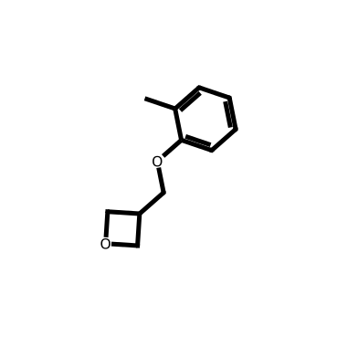 Cc1ccccc1OCC1COC1